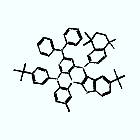 Cc1ccc2c(c1)B1c3sc4ccc(C(C)(C)C)cc4c3N(c3ccc4c(c3)C(C)(C)CCC4(C)C)c3cc(N(c4ccccc4)c4ccccc4)nc(c31)N2c1ccc(C(C)(C)C)cc1